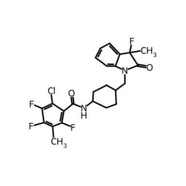 Cc1c(F)c(F)c(Cl)c(C(=O)NC2CCC(CN3C(=O)C(C)(F)c4ccccc43)CC2)c1F